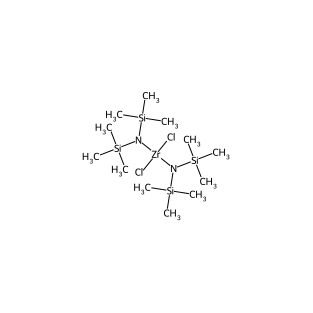 C[Si](C)(C)[N]([Si](C)(C)C)[Zr]([Cl])([Cl])[N]([Si](C)(C)C)[Si](C)(C)C